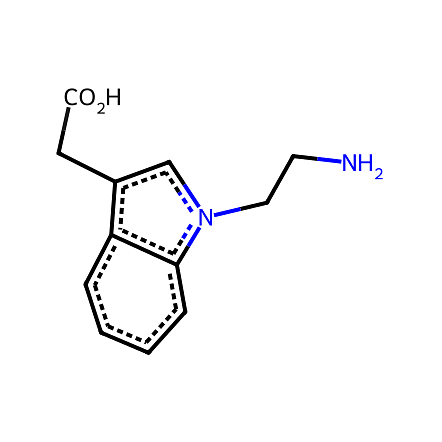 NCCn1cc(CC(=O)O)c2ccccc21